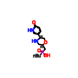 CCCCP(=O)(O)C[C@H]1CN[C@@H](c2ccc(=O)[nH]c2)CO1